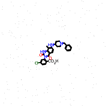 Cc1c(NC2CCN(Cc3ccccc3)CC2)ccc2c(=O)n(-c3cc(Cl)ccc3C(=O)O)c(=O)[nH]c12